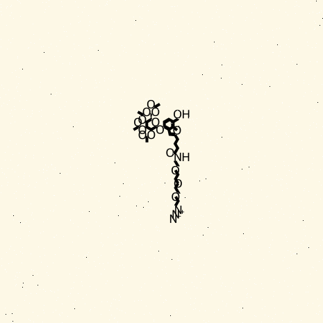 CC(=O)OC[C@H]1O[C@@H](Oc2ccc(CO)c3oc(CCCC(=O)NCCOCCOCCOCCN=[N+]=[N-])cc23)[C@H](OC(C)=O)[C@@H](OC(C)=O)[C@H]1OC(C)=O